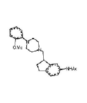 COc1ccccc1N1CCN(CC2CCc3ccc(NC(C)=O)cc32)CC1